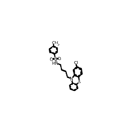 Cc1ccc(S(=O)(=O)NCCCCN2c3ccccc3Sc3ccc(Cl)cc32)cc1